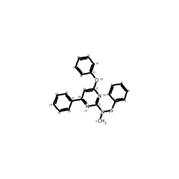 CN(Sc1ccccc1)c1nc(Oc2ccccc2)cc(-c2ccccc2)n1